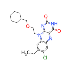 CCc1cc2c(cc1Cl)nc1c(=O)[nH]c(=O)nc-1n2CCOCC1CCCCC1